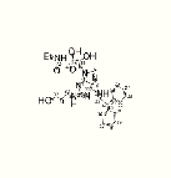 CCNC(=O)[C@H]1O[C@@H](n2cnc3c(NCC(c4ccccc4)c4ccccc4)nc(NCCCO)nc32)[C@H](O)[C@@H]1O